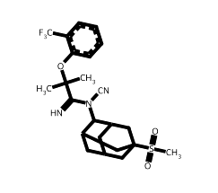 CC(C)(Oc1ccccc1C(F)(F)F)C(=N)N(C#N)C1C2CC3CC1CC(S(C)(=O)=O)(C3)C2